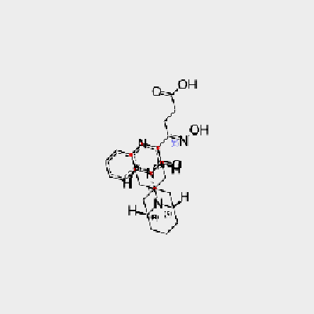 O=C(O)CC/C(=N\O)c1nc2ccccc2n([C@H]2C[C@H]3CCC[C@@H](C2)N3C2C[C@H]3CCC[C@@H](C2)C3)c1=O